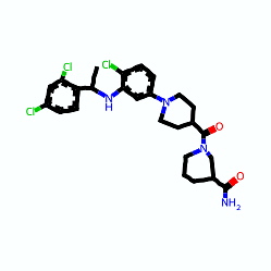 CC(Nc1cc(N2CCC(C(=O)N3CCCC(C(N)=O)C3)CC2)ccc1Cl)c1ccc(Cl)cc1Cl